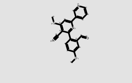 COc1ccc(-c2nc(-c3cccnc3)cc(SC)c2C#N)c(C=O)c1